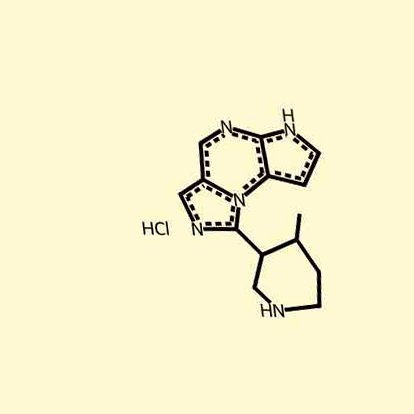 CC1CCNCC1c1ncc2cnc3[nH]ccc3n12.Cl